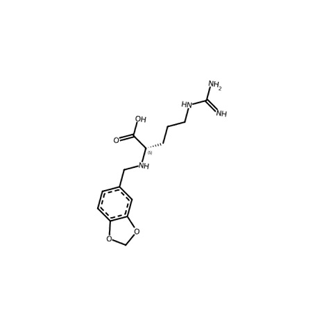 N=C(N)NCCC[C@H](NCc1ccc2c(c1)OCO2)C(=O)O